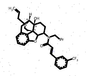 C=CCN1CC[C@]23c4c5cccc4OC2C(N(CC(C)C)C(=O)/C=C/c2cccc(C(F)(F)F)c2)CC[C@@]3(O)[C@H]1C5